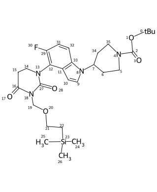 CC(C)(C)OC(=O)N1CCC(n2ccc3c(N4CCC(=O)N(COCC[Si](C)(C)C)C4=O)c(F)ccc32)CC1